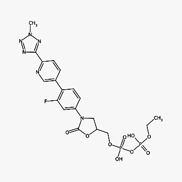 CCOP(=O)(O)OP(=O)(O)OCC1CN(c2ccc(-c3ccc(-c4nnn(C)n4)nc3)c(F)c2)C(=O)O1